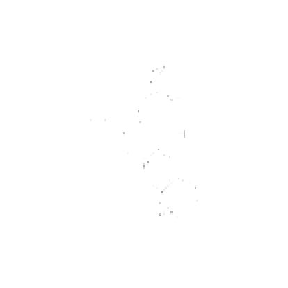 COC(=N)CCC(Cc1ccc(CO)c([N+](=O)[O-])c1)C(=O)O.Cl